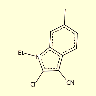 CCn1c(Cl)c(C#N)c2ccc(C)cc21